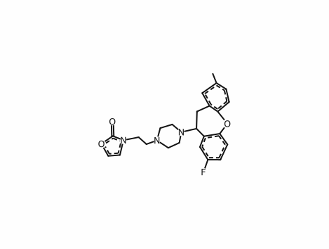 Cc1ccc2c(c1)CC(N1CCN(CCn3ccoc3=O)CC1)c1cc(F)ccc1O2